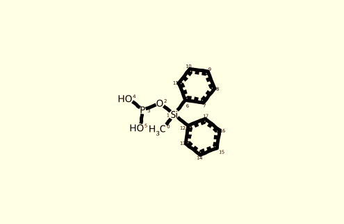 C[Si](OP(O)O)(c1ccccc1)c1ccccc1